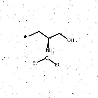 CC(C)C[C@H](N)CO.CCOCC